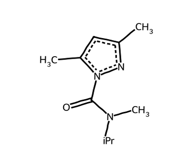 Cc1cc(C)n(C(=O)N(C)C(C)C)n1